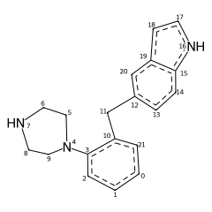 c1ccc(N2CCNCC2)c(Cc2ccc3[nH]ccc3c2)c1